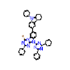 S=c1nc(-c2ccccc2)nc2n(-c3nc(-c4ccccc4)nc(-c4ccccc4)n3)c3ccc(-c4ccc5c(c4)c4ccccc4n5-c4ccccc4)cc3n12